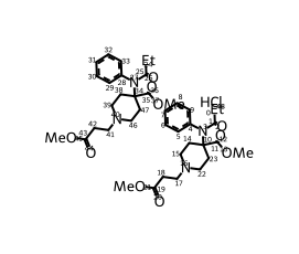 CCC(=O)N(c1ccccc1)C1(C(=O)OC)CCN(CCC(=O)OC)CC1.CCC(=O)N(c1ccccc1)C1(C(=O)OC)CCN(CCC(=O)OC)CC1.Cl